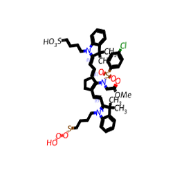 COC(=O)CN(C1=C(/C=C/C2=[N+](CCCCSOOO)c3ccccc3C2(C)C)CC/C1=C\C=C1\N(CCCCS(=O)(=O)O)c2ccccc2C1(C)C)S(=O)(=O)c1ccc(Cl)cc1